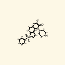 O=c1c(Cl)nc2cnc3c(ccn3S(=O)(=O)c3ccccc3)c2n1C1CCNCC1